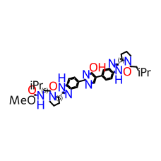 COC(=O)N[C@H](C(=O)N1CCC[C@H]1c1nc2cc(-c3ncc(-c4ccc5[nH]c([C@@H]6CCCN6C(=O)CC(C)C)nc5c4)c(O)n3)ccc2[nH]1)C(C)C